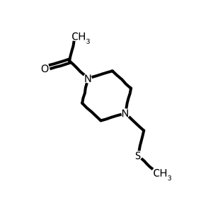 CSCN1CCN(C(C)=O)CC1